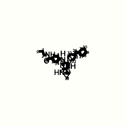 CCCNC(=O)c1ccc(NC2=NC(=N)/C(=N\OC)NC2N2CCC(Cc3ccccc3)CC2)cc1